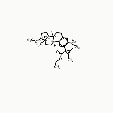 CCOC(=O)C1(c2cc3c(cc2C)CC[C@@H]2[C@@H]3CC[C@]3(C)[C@@H](OC)CC[C@@H]23)C(C)=C1C